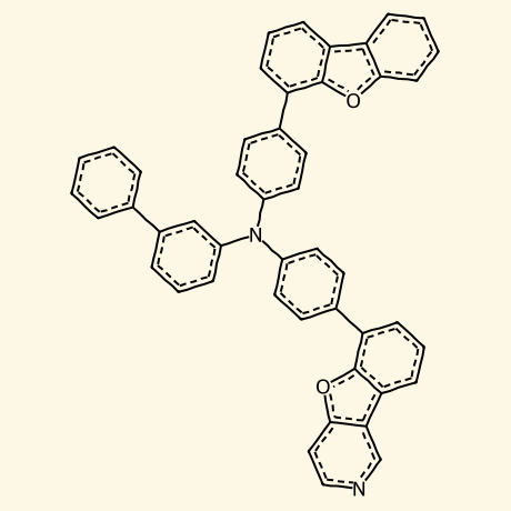 c1ccc(-c2cccc(N(c3ccc(-c4cccc5c4oc4ccccc45)cc3)c3ccc(-c4cccc5c4oc4ccncc45)cc3)c2)cc1